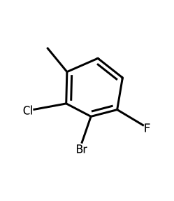 Cc1ccc(F)c(Br)c1Cl